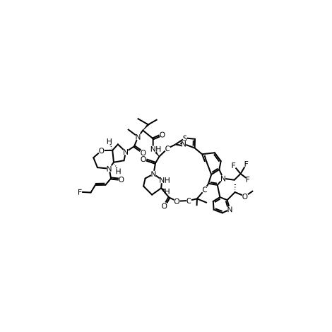 CO[C@@H](C)c1ncccc1-c1c2c3cc(ccc3n1CC(F)(F)F)-c1csc(n1)C[C@H](NC(=O)[C@H](C(C)C)N(C)C(=O)N1C[C@@H]3OCCN(C(=O)/C=C/CF)[C@@H]3C1)C(=O)N1CCC[C@H](N1)C(=O)OCC(C)(C)C2